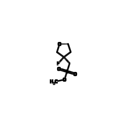 COS(=O)(=O)CC1(F)CCOC1